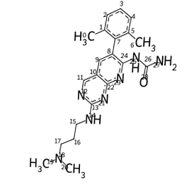 Cc1cccc(C)c1-c1cc2cnc(NCCCN(C)C)nc2nc1NC(N)=O